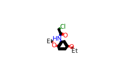 CCOc1ccc(OCC)c(NC(=O)CCl)c1